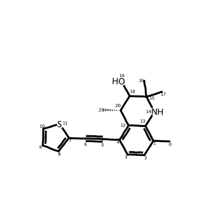 Cc1ccc(C#Cc2cccs2)c2c1NC(C)(C)C(O)[C@H]2C